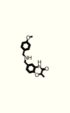 COc1ccc(CNCc2ccc3c(c2)NC(=O)C(C)O3)cc1